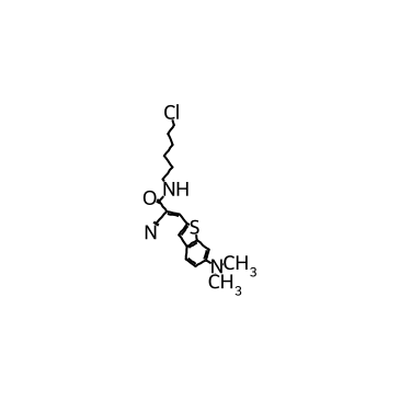 CN(C)c1ccc2cc(/C=C(\C#N)C(=O)NCCCCCCCl)sc2c1